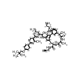 Cc1nc(-c2ccc(OCC(C)(C)C)cc2)ncc1C(=O)NC(CCN)C(=O)Nc1cc2cc(c1OCCN)-c1cc(ccc1OCCN)C(C)C(=O)NC(C)C(=O)NC(C(=O)NCC#N)C2